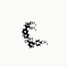 CN1CCN(c2cc(C(=O)Nc3cc4cc(-c5cnn(C)c5N)ccc4nn3)ccn2)CC1